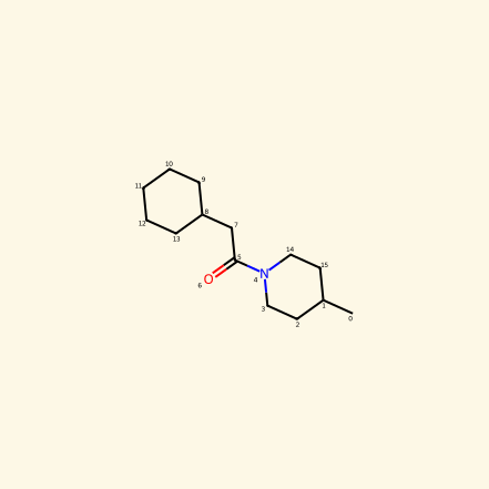 CC1CCN(C(=O)CC2CCCCC2)CC1